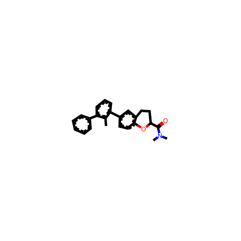 Cc1c(-c2ccccc2)cccc1-c1ccc2c(c1)CCC(C(=O)N(C)C)O2